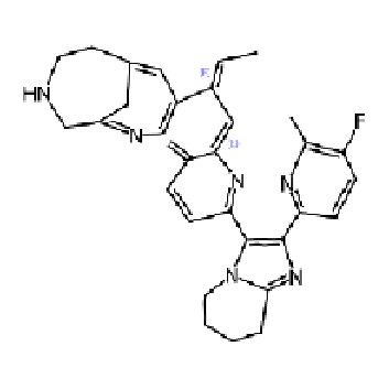 C=c1ccc(-c2c(-c3ccc(F)c(C)n3)nc3n2CCCC3)n/c1=C/C(=C\C)C1=CN=C2CNCCC(=C1)C2